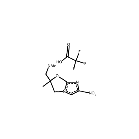 CNCC1(C)Cn2cc([N+](=O)[O-])nc2O1.O=C(O)C(F)(F)F